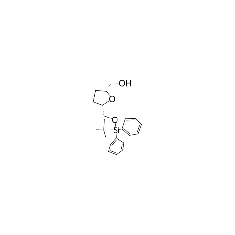 CC(C)(C)[Si](OC[C@@H]1CC[C@H](CO)O1)(c1ccccc1)c1ccccc1